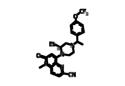 CC[C@H]1CN(C(C)c2ccc(OC(F)(F)F)cc2)CCN1c1cc(=O)n(C)c2ccc(C#N)nc12